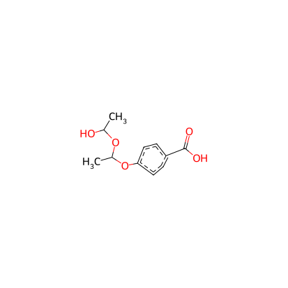 CC(O)OC(C)Oc1ccc(C(=O)O)cc1